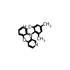 Cc1cc(C)c(N2c3ccccc3Oc3ccncc32)c(C)c1